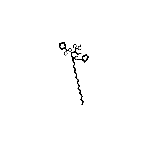 CCCCCCCCCCCCCCCCCC(CC(OC(=O)c1ccccc1)C(CC)C(=O)OC)OCc1ccccc1